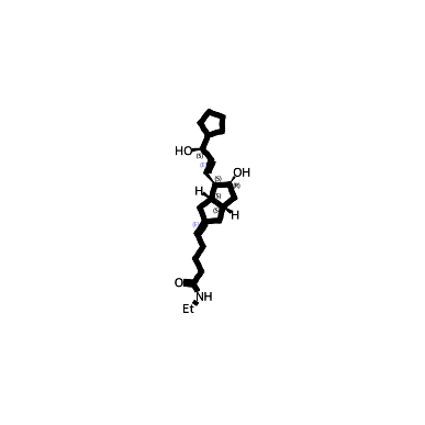 CCNC(=O)CCC/C=C1\C[C@H]2C[C@@H](O)[C@H](/C=C/[C@@H](O)C3CCCC3)[C@H]2C1